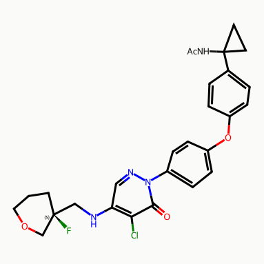 CC(=O)NC1(c2ccc(Oc3ccc(-n4ncc(NC[C@@]5(F)CCCOC5)c(Cl)c4=O)cc3)cc2)CC1